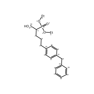 CCOP(=O)(OCC)C(CCCc1ccc(Cc2ccccc2)cc1)S(=O)(=O)O